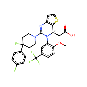 COc1ccc(C(F)(F)F)cc1N1C(N2CCC(F)(c3ccc(F)cc3)CC2)=Nc2ccsc2[C@H]1CC(=O)O